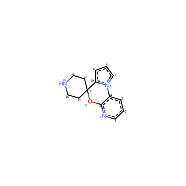 c1cnc2c(c1)-n1cccc1C1(CCNCC1)O2